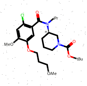 COCCCOc1cc(C(=O)N(C(C)C)[C@@H]2CCCN(C(=O)OC(C)(C)C)C2)c(Cl)cc1OC